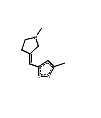 Cc1cc(C=C2CCN(C)C2)on1